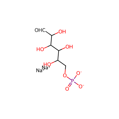 O=CC(O)C(O)C(O)C(O)COP(=O)([O-])[O-].[Na+].[Na+]